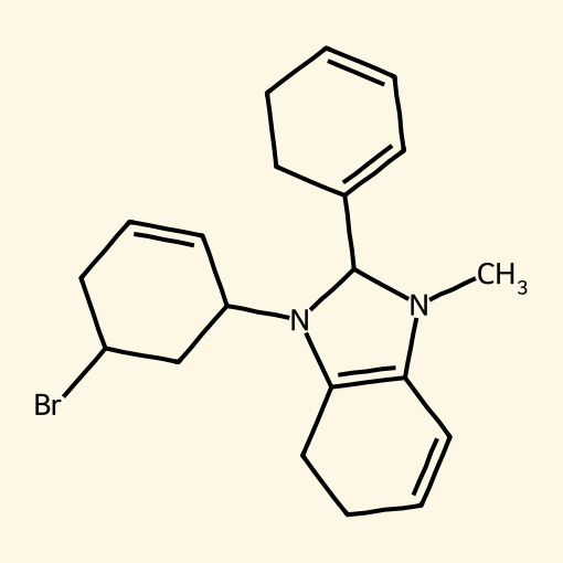 CN1C2=C(CCC=C2)N(C2C=CCC(Br)C2)C1C1=CC=CCC1